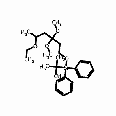 CCOC(C)CC(CCO[Si](c1ccccc1)(c1ccccc1)C(C)(C)C)(OC)OC